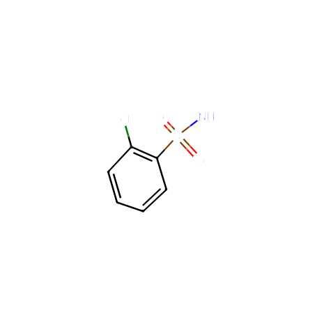 NS(=O)(=O)c1ccc[c]c1Cl